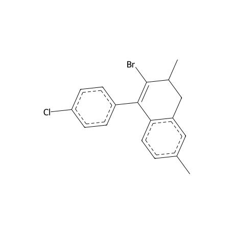 Cc1ccc2c(c1)CC(C)C(Br)=C2c1ccc(Cl)cc1